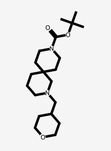 CC(C)(C)OC(=O)N1CCC2(CCCN(CC3CCOCC3)C2)CC1